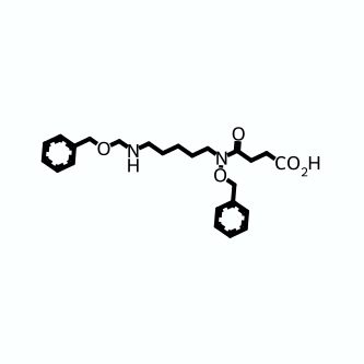 O=C(O)CCC(=O)N(CCCCCNCOCc1ccccc1)OCc1ccccc1